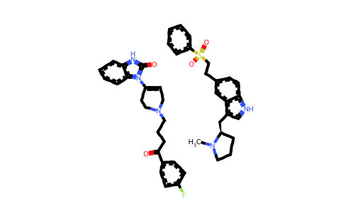 CN1CCC[C@@H]1Cc1c[nH]c2ccc(CCS(=O)(=O)c3ccccc3)cc12.O=C(CCCN1CC=C(n2c(=O)[nH]c3ccccc32)CC1)c1ccc(F)cc1